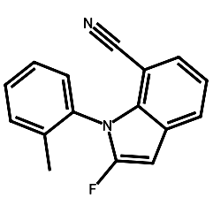 Cc1ccccc1-n1c(F)cc2cccc(C#N)c21